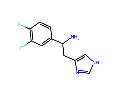 NC(Cc1c[nH]cn1)c1ccc(F)c(F)c1